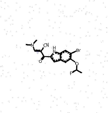 CC(F)Oc1cc2cc(C(=O)/C(C#N)=C/N(C)C)[nH]c2cc1Br